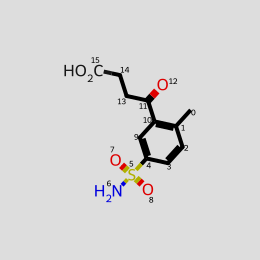 Cc1ccc(S(N)(=O)=O)cc1C(=O)CCC(=O)O